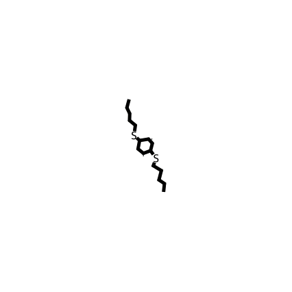 CCCCCSC1[CH]CC(SCCCCC)[CH]C1